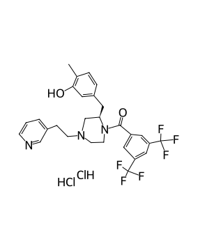 Cc1ccc(C[C@@H]2CN(CCc3cccnc3)CCN2C(=O)c2cc(C(F)(F)F)cc(C(F)(F)F)c2)cc1O.Cl.Cl